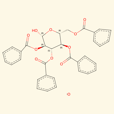 O=C(OC[C@H]1O[C@@H](O)[C@H](OC(=O)c2ccccc2)[C@@H](OC(=O)c2ccccc2)[C@@H]1OC(=O)c1ccccc1)c1ccccc1.[O]